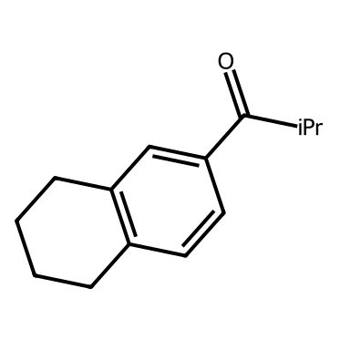 CC(C)C(=O)c1ccc2c(c1)CCCC2